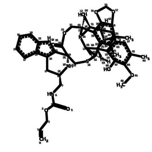 C=CCOC(=O)NC[C@H]1Cc2c([nH]c3ccccc23)[C@@]2(CS[C@@H]3c4c(C)c(C)c5c(c4[C@H](COC2=O)N2[C@@H]3[C@H]3c4c(cc(C)c(OC)c4O)C[C@@H]([C@@H]2O)N3C)OCO5)N1